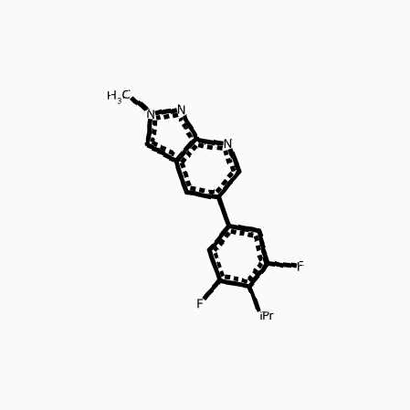 CC(C)c1c(F)cc(-c2cnc3nn(C)cc3c2)cc1F